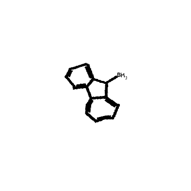 BC1c2ccccc2-c2ccccc21